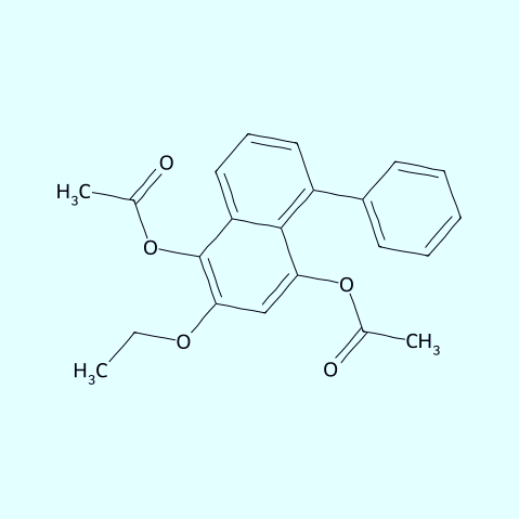 CCOc1cc(OC(C)=O)c2c(-c3ccccc3)cccc2c1OC(C)=O